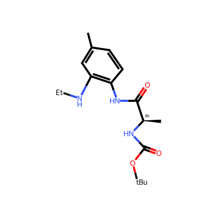 CCNc1cc(C)ccc1NC(=O)[C@@H](C)NC(=O)OC(C)(C)C